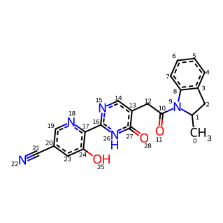 CC1Cc2ccccc2N1C(=O)Cc1cnc(-c2ncc(C#N)cc2O)[nH]c1=O